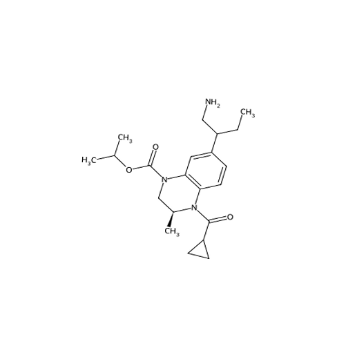 CCC(CN)c1ccc2c(c1)N(C(=O)OC(C)C)C[C@H](C)N2C(=O)C1CC1